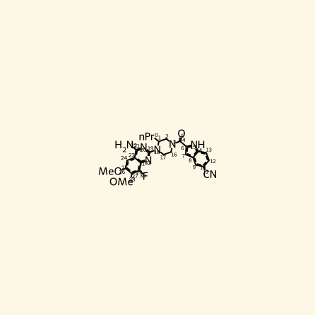 CCCC1CN(C(=O)c2cc3cc(C#N)ccc3[nH]2)CCN1c1nc(N)c2cc(OC)c(OC)c(F)c2n1